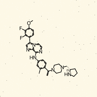 C=C(c1ccc(Nc2nccn3c(-c4ccc(OC)c(F)c4F)cnc23)cc1C)N1CCN(C[C@@H]2CCCN2)CC1